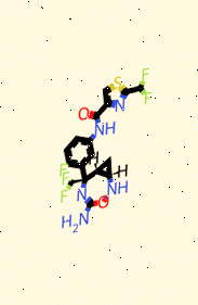 NC1=N[C@@](c2cc(NC(=O)c3csc(C(F)F)n3)ccc2F)(C(F)F)[C@H]2C[C@H]2NO1